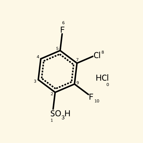 Cl.O=S(=O)(O)c1ccc(F)c(Cl)c1F